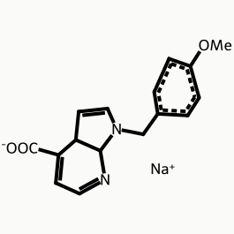 COc1ccc(CN2C=CC3C(C(=O)[O-])=CC=NC32)cc1.[Na+]